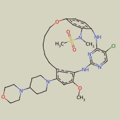 COc1cc(N2CCC(N3CCOCC3)CC2)c2cc1Nc1ncc(Cl)c(n1)Nc1ccc(cc1N(C)S(C)(=O)=O)OCCCCC2